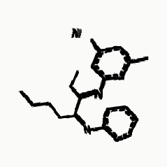 CCCCC(=Nc1ccccc1)C(CC)=Nc1cc(C)cc(C)c1.[Ni]